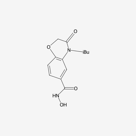 CCC(C)N1C(=O)COc2ccc(C(=O)NO)cc21